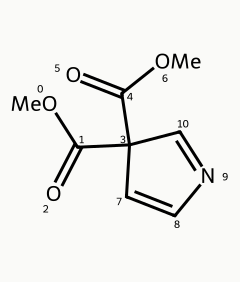 COC(=O)C1(C(=O)OC)C=CN=C1